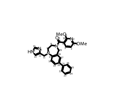 COc1ccc(C(=O)N2CCN(Cc3c[nH]cn3)c3ccc(-c4ccccc4)cc3C2)c(OC)n1